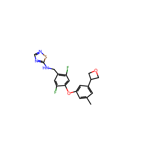 Cc1cc(Oc2cc(F)c(CNc3ncns3)cc2F)cc(C2COC2)c1